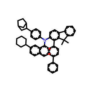 CC1(C)c2ccccc2-c2ccc(N(c3ccc(C4CC5CCC4C5)cc3)c3cccc4ccc(C5CCCCC5)cc34)c(-c3ccc(-c4ccccc4)cc3)c21